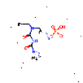 CC(C)CN(CC(C)C)C(=O)NC(N)=O.N.O=P([O-])([O-])O.[Mg+2]